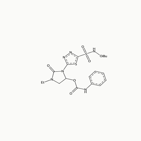 CCN1CC(OC(=O)Nc2ccccc2)N(c2nnc(S(=O)(=O)NOCC(C)C)s2)C1=O